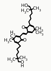 CC1(C)C=C(C=CC2=CC(C)(C)C=C(CCCCC(C)(C)CO)C2=O)C(=O)C(CCCCC(C)(C)CO)=C1